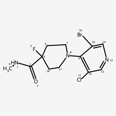 CNC(=O)C1(F)CCN(c2c(Cl)cncc2Br)CC1